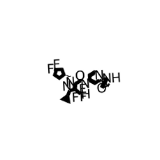 CS(=N)(=O)c1cc(NC(=O)c2c(C(F)(F)F)c(C3CC3)nn2C[C@@H]2CCC(F)(F)C2)ccn1